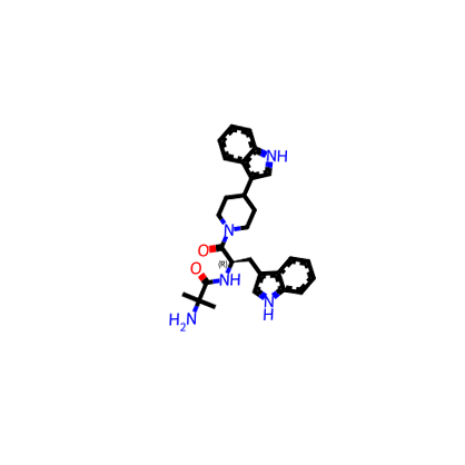 CC(C)(N)C(=O)N[C@H](Cc1c[nH]c2ccccc12)C(=O)N1CCC(c2c[nH]c3ccccc23)CC1